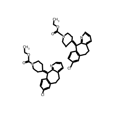 CCOC(=O)N1CCC(=C2c3ccc(Cl)cc3CCc3cccnc32)CC1.CCOC(=O)N1CCC(=C2c3ccc(Cl)cc3CCc3cccnc32)CC1